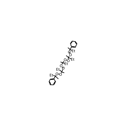 CCC(C)(OOC(C)(CC)OOC(C)(CC)c1ccccc1)OOC(C)(CC)OOC(C)(CC)c1ccccc1